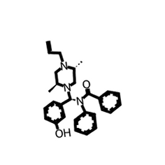 C=CCN1C[C@H](C)N([C@@H](c2cccc(O)c2)N(C(=O)c2ccccc2)c2ccccc2)C[C@H]1C